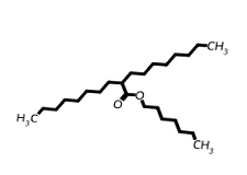 CCCCCCCCC(CCCCCCCC)C(=O)OCCCCCCC